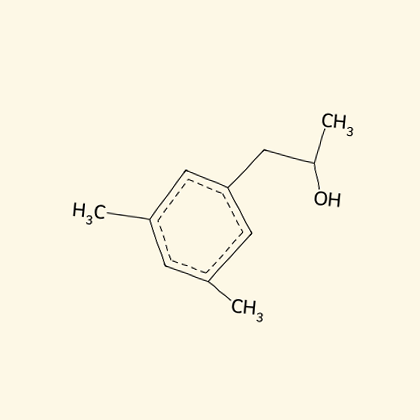 Cc1cc(C)cc(CC(C)O)c1